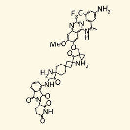 COc1cc2nc(C)nc(N[C@H](C)c3cc(N)cc(C(F)(F)F)c3)c2cc1OCC1(C(=O)C2(N)CC3(CCC(N)(C(=O)CNc4cccc5c4C(=O)N(C4CCC(=O)NC4=O)C5=O)CC3)C2)CC1